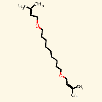 CC(C)=CCOCCCCCCCCCOCC=C(C)C